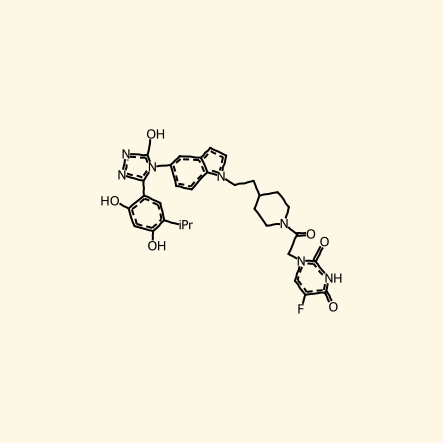 CC(C)c1cc(-c2nnc(O)n2-c2ccc3c(ccn3CCC3CCN(C(=O)Cn4cc(F)c(=O)[nH]c4=O)CC3)c2)c(O)cc1O